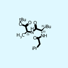 CC[C@H](C)[C@H](NC(=O)CC(C)C)C(=O)N[C@@H](C)C(=O)OC(C)(C)C